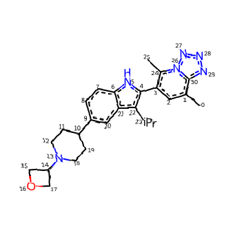 Cc1cc(-c2[nH]c3ccc(C4CCN(C5COC5)CC4)cc3c2C(C)C)c(C)n2nnnc12